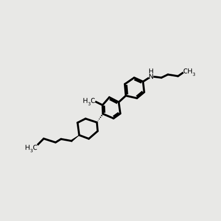 CCCCC[C@H]1CC[C@H](c2ccc(-c3ccc(NCCCC)cc3)cc2C)CC1